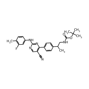 Cc1ccc(Nc2ncc(C#N)c(-c3ccc(C(C)CNC(=O)OC(C)(C)C)cc3)n2)cc1F